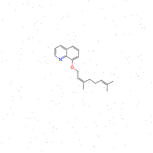 CC(C)=CCCC(C)=CCOc1cccc2cccnc12